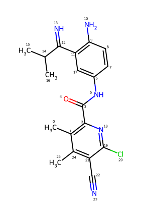 Cc1c(C(=O)Nc2ccc(N)c(C(=N)C(C)C)c2)nc(Cl)c(C#N)c1C